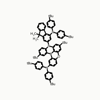 CC(C)(C)c1ccc(N(c2ccc(C(C)(C)C)cc2)c2ccc3c(c2)B2c4cc(C(C)(C)C)ccc4N(c4cc(N(c5ccc(C(C)(C)C)cc5)c5ccc(C(C)(C)C)cc5)c5c(c4)C(C)(C)c4ccccc4-5)c4cc(C(C)(C)C)cc(c42)O3)cc1